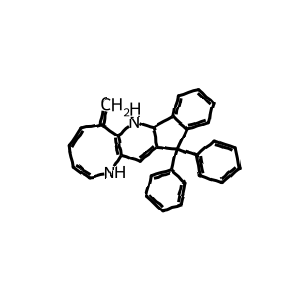 C=C1/C=C\C=C/NC2=C1NC1C(=C2)C(c2ccccc2)(c2ccccc2)c2ccccc21